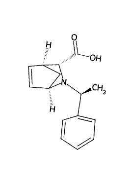 C[C@@H](c1ccccc1)N1[C@H]2C=C[C@H](C2)[C@@H]1C(=O)O